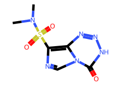 CN(C)S(=O)(=O)c1ncn2c(=O)[nH]nnc12